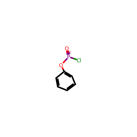 O=[PH](Cl)Oc1ccccc1